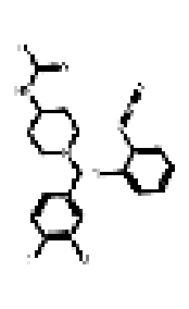 CCC(=O)NC1CCN(Cc2ccc(Cl)c(Cl)c2)CC1.S=C=Nc1ccccc1Cl